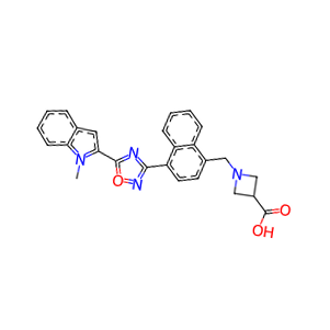 Cn1c(-c2nc(-c3ccc(CN4CC(C(=O)O)C4)c4ccccc34)no2)cc2ccccc21